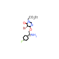 CCOC(=O)Cn1cnc(OC[C@@H](N)c2ccc(F)cc2)c(Br)c1=O